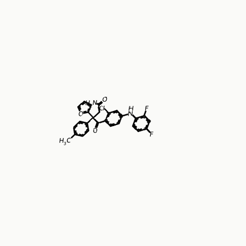 Cc1ccc(C(CC(N)=O)(C(=O)c2ccc(Nc3ccc(F)cc3F)cc2Cl)c2ccco2)cc1